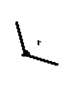 CCCCCCCCCCCCCCCCCC[N+](CC)(CC)CCCCCCCCCCCCCCCCCC.[I-]